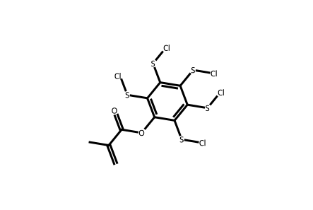 C=C(C)C(=O)Oc1c(SCl)c(SCl)c(SCl)c(SCl)c1SCl